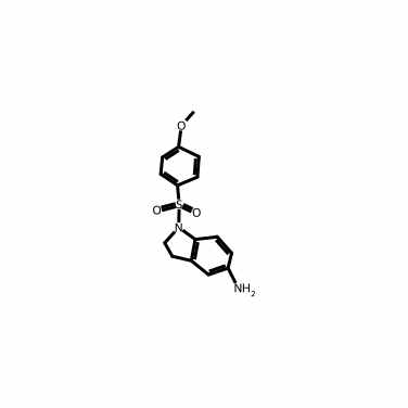 COc1ccc(S(=O)(=O)N2CCc3cc(N)ccc32)cc1